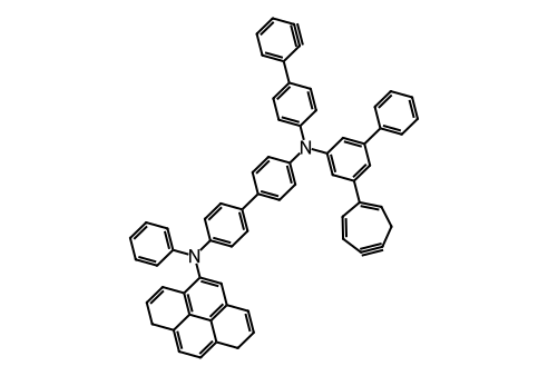 C1#CCC=C(c2cc(-c3ccccc3)cc(N(c3ccc(-c4c#cccc4)cc3)c3ccc(-c4ccc(N(c5ccccc5)c5cc6c7c(ccc8c7c5C=CC8)CC=C6)cc4)cc3)c2)C=C1